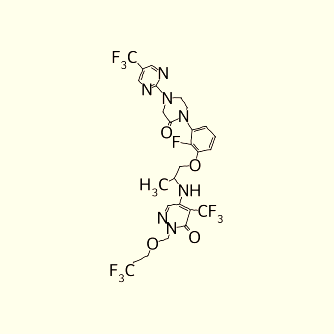 CC(COc1cccc(N2CCN(c3ncc(C(F)(F)F)cn3)CC2=O)c1F)Nc1cnn(COCCC(F)(F)F)c(=O)c1C(F)(F)F